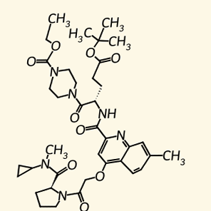 CCOC(=O)N1CCN(C(=O)[C@H](CCC(=O)OC(C)(C)C)NC(=O)c2cc(OCC(=O)N3CCC[C@H]3C(=O)N(C)C3CC3)c3ccc(C)cc3n2)CC1